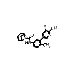 Cc1ccc(NC(=O)N2C3CCCC2C3)cc1-c1cnc(C)c(F)c1